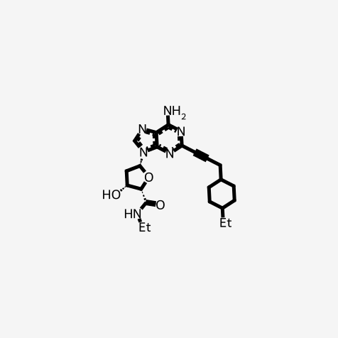 CCNC(=O)[C@H]1O[C@@H](n2cnc3c(N)nc(C#CCC4CCC(CC)CC4)nc32)C[C@H]1O